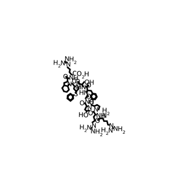 NC(N)=NCCCC(N)C(=O)NC(CCCN=C(N)N)C(=O)N1CCCC1C(=O)N1CC(O)CC1C(=O)NCC(=O)NC(Cc1ccccc1)C(=O)NC(CO)C(=O)N1CC(Sc2ccccc2)CC1C(=O)N1C(C(=O)NC(CCCN=C(N)N)C(=O)O)CC2CCCCC21